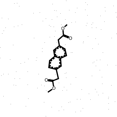 COC(=O)Cc1ccc2cc(CC(=O)OC)ccc2c1